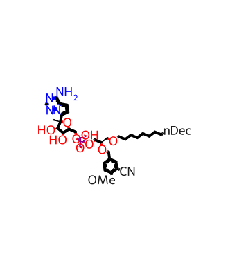 CCCCCCCCCCCCCCCCCCOC[C@H](COP(=O)(O)OCC1O[C@@](C)(c2ccc3c(N)ncnn23)[C@H](O)[C@@H]1O)OCc1ccc(OC)c(C#N)c1